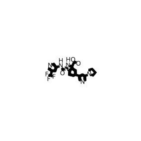 O=C(O)c1nn(C(=O)Nc2cncc(C(F)(F)F)c2)c2ccc(-c3cncc(N4CCCC4)c3)cc12